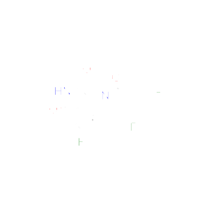 Cc1c(F)cc(C(=O)N(C)C2COCc3[nH]c(=O)c4cc(F)ccc4c32)cc1F